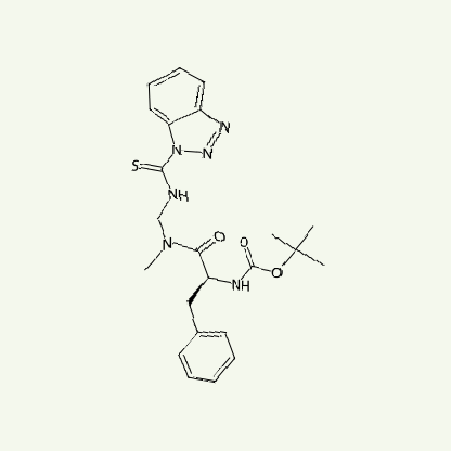 CN(CNC(=S)n1nnc2ccccc21)C(=O)[C@H](Cc1ccccc1)NC(=O)OC(C)(C)C